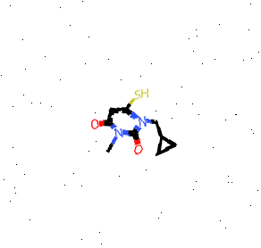 Cn1c(=O)cc(S)n(CC2CC2)c1=O